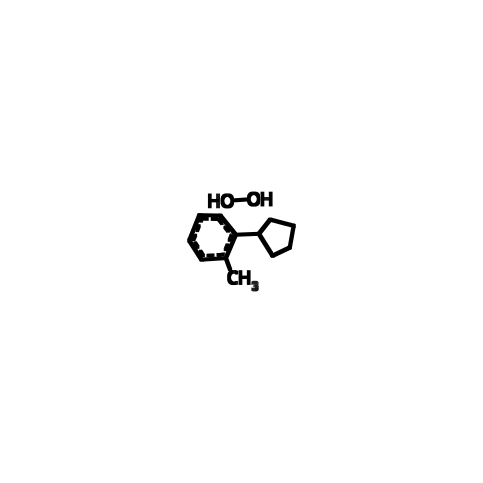 Cc1ccccc1C1CCCC1.OO